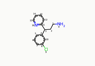 NCCC(c1cccc(Cl)c1)c1ccccn1